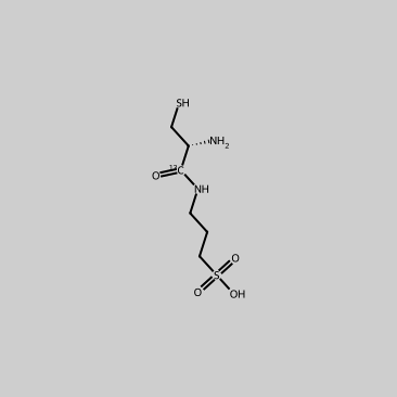 N[C@@H](CS)[13C](=O)NCCCS(=O)(=O)O